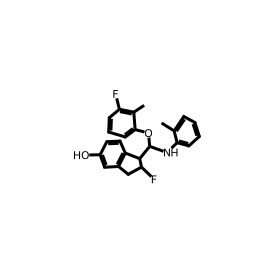 Cc1ccccc1NC(Oc1cccc(F)c1C)C1c2ccc(O)cc2CC1F